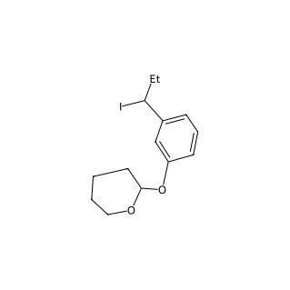 CCC(I)c1cccc(OC2CCCCO2)c1